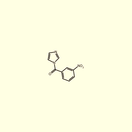 O=C(c1cccc([N+](=O)[O-])c1)n1ccnc1